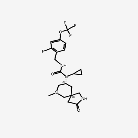 CN1C[C@H](N(C(=O)NCc2ccc(OC(F)(F)F)cc2F)C2CC2)C[C@]2(CNC(=O)C2)C1